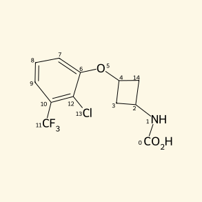 O=C(O)NC1CC(Oc2cccc(C(F)(F)F)c2Cl)C1